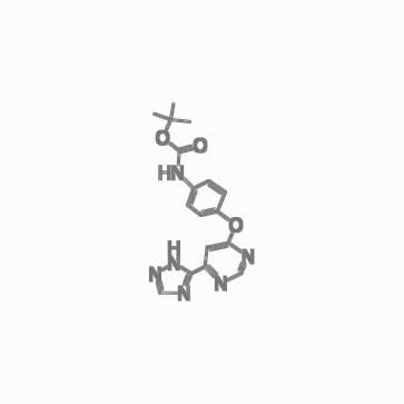 CC(C)(C)OC(=O)Nc1ccc(Oc2cc(-c3ncn[nH]3)ncn2)cc1